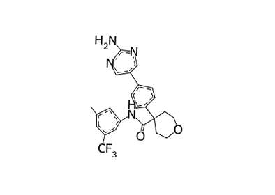 Cc1cc(NC(=O)C2(c3ccc(-c4cnc(N)nc4)cc3)CCOCC2)cc(C(F)(F)F)c1